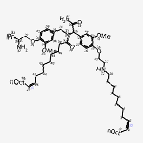 CCCCCCCC/C=C\CCCCCCCCNCCOc1ccc(C(C(N)=O)N(Cc2ccc(OC[C@@H](N)C(C)C)c(OC)c2)C(=O)CCCCCCC/C=C\CCCCCCCC)cc1OC